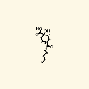 CCCCOC(=O)N1CCC(O)(C(=O)O)CC1